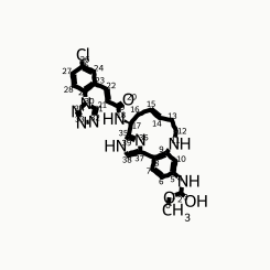 COC(O)Nc1ccc2c(c1)NCC/C=C/C[C@H](NC(=O)/C=C/c1cc(Cl)ccc1-n1cnnn1)c1nc-2c[nH]1